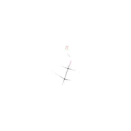 O=POC(F)(F)C(F)(F)F